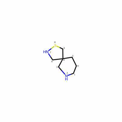 C1CNCC2(C1)CNSC2